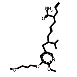 C=CCC(CC=CCC(Cc1cnc(OC)c(OCCCOC)c1)C(C)C)C(N)=O